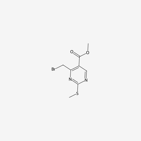 COC(=O)c1cnc(SC)nc1CBr